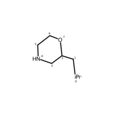 C[C](C)CC1CNCCO1